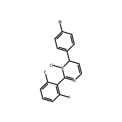 Fc1cccc(F)c1C1=NC=CC(c2ccc(Br)cc2)N1Cl